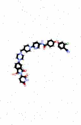 N#Cc1ccc(OC2CCC(C(=O)Nc3ccc(N4CCC(CN5CCN(c6ccc7c(c6)C(=O)N(C6CCC(=O)NC6=O)C7O)CC5)CC4)nc3)CC2)cc1Cl